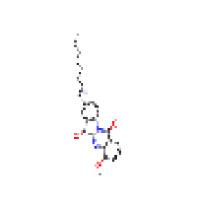 CCCCCC/C=C/c1ccc2c(c1)C(=O)c1nc3c(OC)cccc3c(=O)n1-2